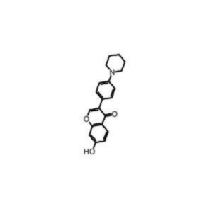 O=c1c(-c2ccc(N3CCCCC3)cc2)coc2cc(O)ccc12